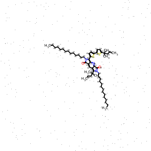 CCCCCCCCCCCCCCN1C(=O)c2nc3c(cc2=C1C(C)(C)CCC)C(=O)N(CCCCCCCCCCCCCC)C=3c1ccc(-c2ccc(C(C)(C)CCC)s2)s1